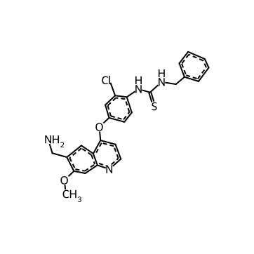 COc1cc2nccc(Oc3ccc(NC(=S)NCc4ccccc4)c(Cl)c3)c2cc1CN